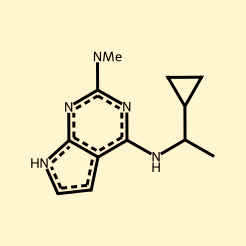 CNc1nc(NC(C)C2CC2)c2cc[nH]c2n1